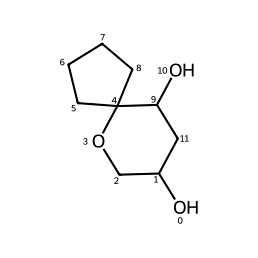 OC1COC2(CCCC2)C(O)C1